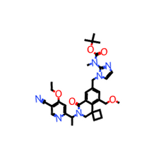 CCOc1cc(C(C)N2CC3(CCC3)c3c(COC)cc(Cn4ccnc4N(C)C(=O)OC(C)(C)C)cc3C2=O)ncc1C#N